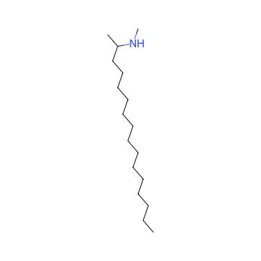 CCCCCCCCCCCCCCC(C)NC